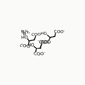 O=C([O-])CC(O)C(=O)[O-].O=C([O-])CC(O)C(=O)[O-].O=C([O-])CC(O)C(=O)[O-].[B+3].[B+3]